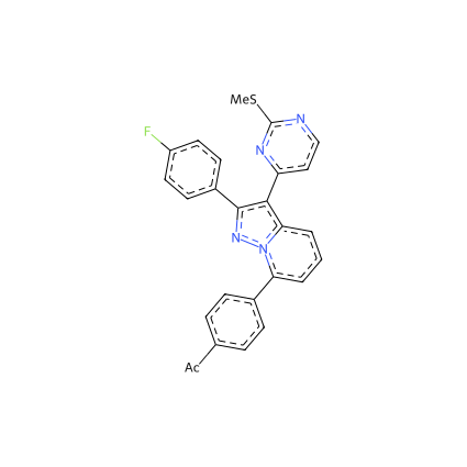 CSc1nccc(-c2c(-c3ccc(F)cc3)nn3c(-c4ccc(C(C)=O)cc4)cccc23)n1